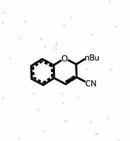 CCCCC1Oc2ccccc2C=C1C#N